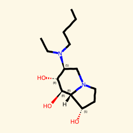 CCCCN(CC)[C@H]1CN2CC[C@H](O)[C@@H]2[C@@H](O)[C@@H]1O